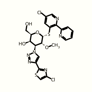 CO[C@@H]1[C@@H](n2cc(-c3nc(Cl)cs3)nn2)[C@@H](O)[C@@H](CO)O[C@@H]1Sc1cc(Cl)cnc1-c1ccccn1